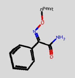 CCCCCON=C(C(N)=O)c1ccccc1